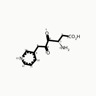 N[C@@H](CC(=O)O)C(=O)C(=O)Cc1cccnc1